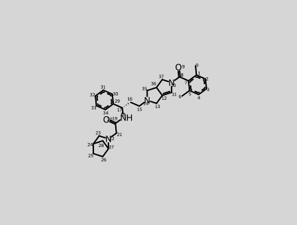 Cc1cccc(C)c1C(=O)N1C=C2CN(CC[C@H](NC(=O)CN3CC4CCC3C4)c3ccccc3)CC2C1